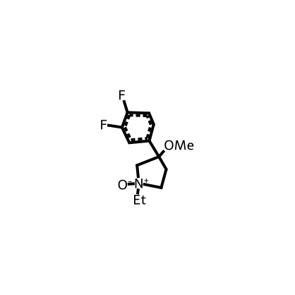 CC[N+]1([O-])CCC(OC)(c2ccc(F)c(F)c2)C1